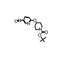 [C-]#[N+]c1ccc(OC2CCN(C(=O)OC(C)(C)C)CC2)nc1